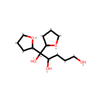 OCCCC(O)C(O)(C1CCCO1)C1CCCO1